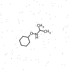 CC(C)NOC1CCCCC1